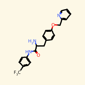 NC(Cc1ccc(OCc2ccccn2)cc1)C(=O)Nc1ccc(C(F)(F)F)cc1